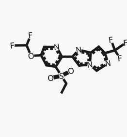 CCS(=O)(=O)c1cc(OC(F)F)cnc1-c1cn2cnc(C(F)(F)F)cc2n1